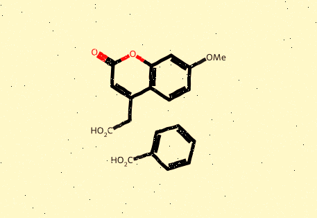 COc1ccc2c(CC(=O)O)cc(=O)oc2c1.O=C(O)c1ccccc1